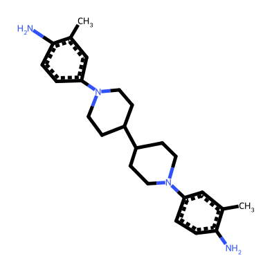 Cc1cc(N2CCC(C3CCN(c4ccc(N)c(C)c4)CC3)CC2)ccc1N